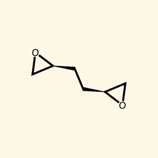 C(C[C@H]1CO1)[C@H]1CO1